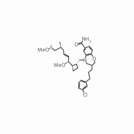 COSC[C@@H](C)C/C=C/[C@H](OC)[C@@H]1CC[C@H]1CN1CC(CCCc2cccc(Cl)c2)COc2ccc(C(N)=O)cc21